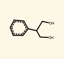 OCC(CO)c1ccccc1